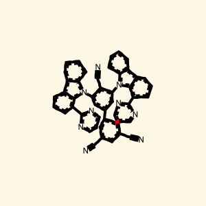 N#Cc1cc(C#N)cc(-c2cc(-n3c4ccccc4c4cccc(-c5ncccn5)c43)c(C#N)c(-n3c4ccccc4c4cccc(-c5ncccn5)c43)c2)c1